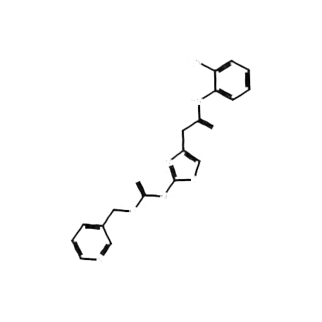 Nc1ccccc1NC(=O)Cc1csc(NC(=O)OCc2cccnc2)n1